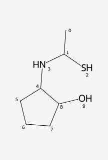 CC(S)NC1CCCC1O